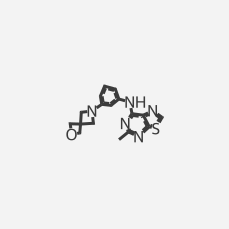 Cc1nc(Nc2cccc(N3CC4(COC4)C3)c2)c2ncsc2n1